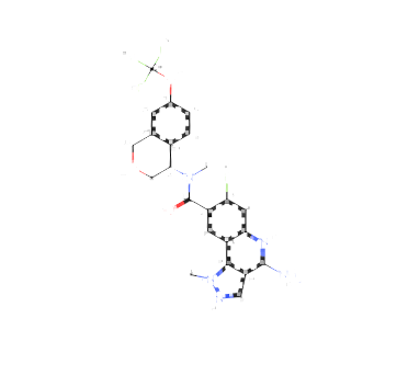 CN(C(=O)c1cc2c(cc1F)nc(N)c1cnn(C)c12)[C@H]1COCc2cc(OC(F)(F)F)ccc21